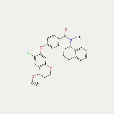 CN(C(=O)c1ccc(Oc2cc3c(cc2Cl)C(OC(=O)O)CCO3)cc1)C1CCCc2ccccc21